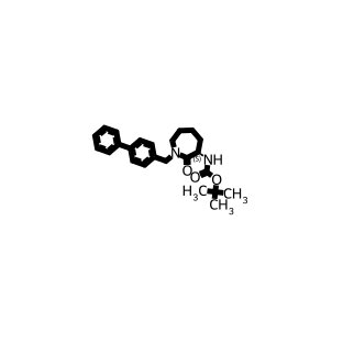 CC(C)(C)OC(=O)N[C@H]1CCCCN(Cc2ccc(-c3ccccc3)cc2)C1=O